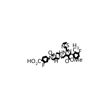 COC(=O)C1=C(CN2CCN3C(=O)N(c4ccc(C(=O)O)c(F)c4)C[C@@H]3C2)NC(c2nccs2)=N[C@H]1c1cccc(F)c1C